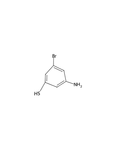 Nc1cc(S)cc(Br)c1